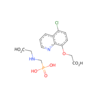 O=C(O)CNCP(=O)(O)O.O=C(O)COc1ccc(Cl)c2cccnc12